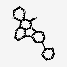 O=c1c2nccnc2c2nccc3c4cc(-c5ccccc5)ccc4n1c32